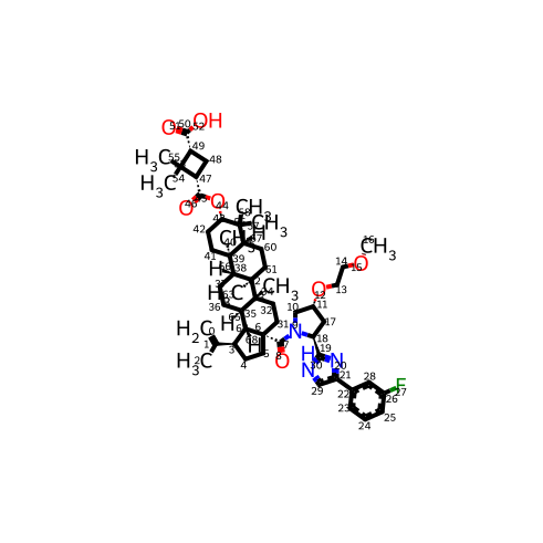 C=C(C)[C@@H]1CC[C@]2(C(=O)N3C[C@H](OCCOC)C[C@H]3c3nc(-c4cccc(F)c4)c[nH]3)CC[C@]3(C)[C@H](CC[C@@H]4[C@@]5(C)CC[C@H](OC(=O)[C@H]6C[C@@H](C(=O)O)C6(C)C)C(C)(C)[C@@H]5CC[C@]43C)[C@@H]12